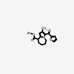 Cc1cc2n(c1C(=O)c1ccco1)CCCCC2C(=O)OC(C)C